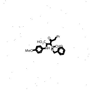 COc1ccc(N[C@H](C(=O)O)C(C(=O)CC(C)C)N(C=O)OCc2ccccc2)cc1